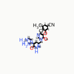 Cc1cc(C#N)cc(Oc2c(C(F)(F)F)ncn(Cc3cc(N(N)/C=C\N)c(=O)[nH]n3)c2=O)c1